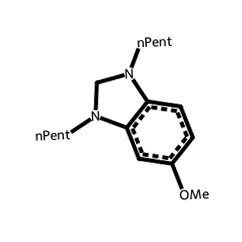 CCCCCN1CN(CCCCC)c2cc(OC)ccc21